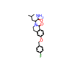 CC(C)C[C@@H](C(N)=O)N1CCc2cc(OCc3ccc(F)cc3)ccc2C1=O